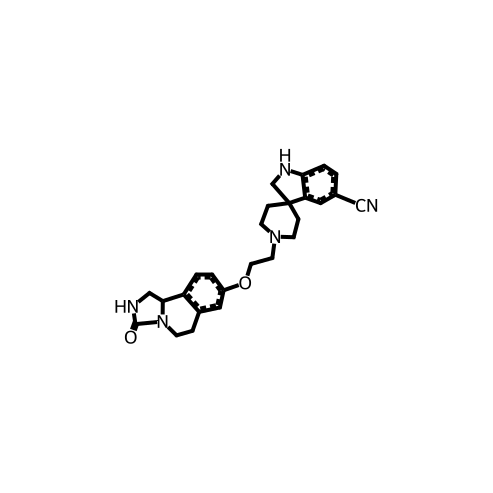 N#Cc1ccc2c(c1)C1(CCN(CCOc3ccc4c(c3)CCN3C(=O)NCC43)CC1)CN2